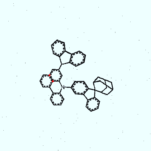 c1ccc(-c2ccccc2N(c2cccc(C3c4ccccc4-c4ccccc43)c2)c2ccc3c(c2)-c2ccccc2C32C3CC4CC(C3)CC2C4)cc1